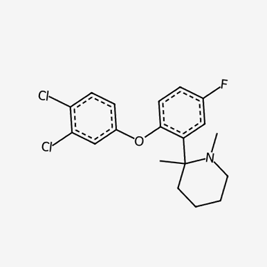 CN1CCCCC1(C)c1cc(F)ccc1Oc1ccc(Cl)c(Cl)c1